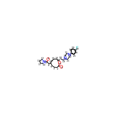 O=C1CCCC(CC(=O)N2CCCC2)CCC[C@H](CCN2CCN(c3ccc(F)cc3)CC2)O1